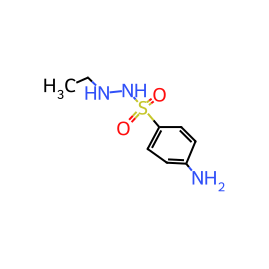 CCNNS(=O)(=O)c1ccc(N)cc1